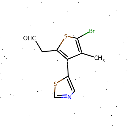 Cc1c(Br)sc(CC=O)c1-c1cncs1